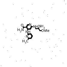 COCC(N)CNc1cc(Nc2cccc(C)n2)c(C(N)=O)cn1